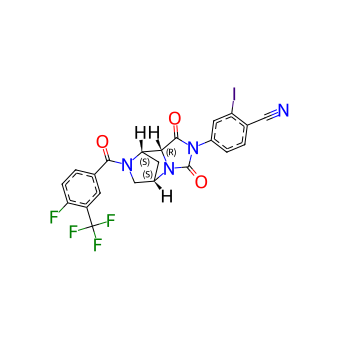 N#Cc1ccc(N2C(=O)[C@H]3[C@@H]4C[C@@H](CN4C(=O)c4ccc(F)c(C(F)(F)F)c4)N3C2=O)cc1I